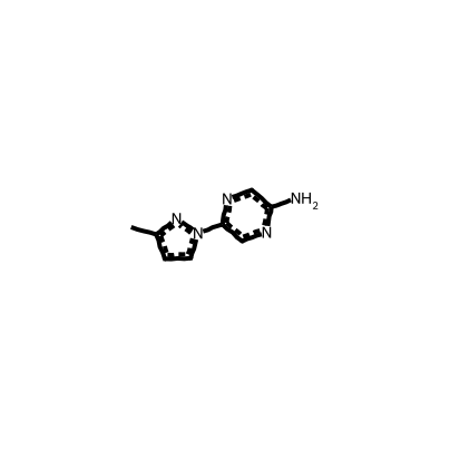 Cc1ccn(-c2cnc(N)cn2)n1